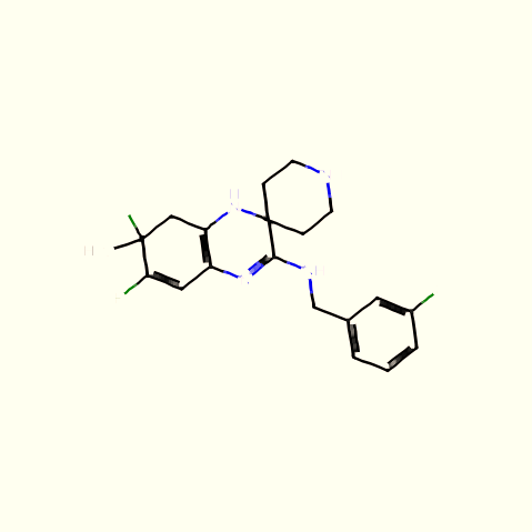 CC1(F)CC2=C(C=C1F)N=C(NCc1cccc(Cl)c1)C1(CCNCC1)N2